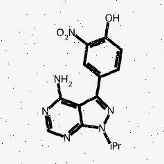 CC(C)n1nc(-c2ccc(O)c([N+](=O)[O-])c2)c2c(N)ncnc21